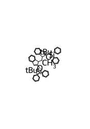 CC(C1C(O[Si](c2ccccc2)(c2ccccc2)C(C)(C)C)=Cc2ccccc21)C1C(O[Si](c2ccccc2)(c2ccccc2)C(C)(C)C)=Cc2ccccc21